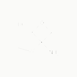 COC1(N)COC1.Cl